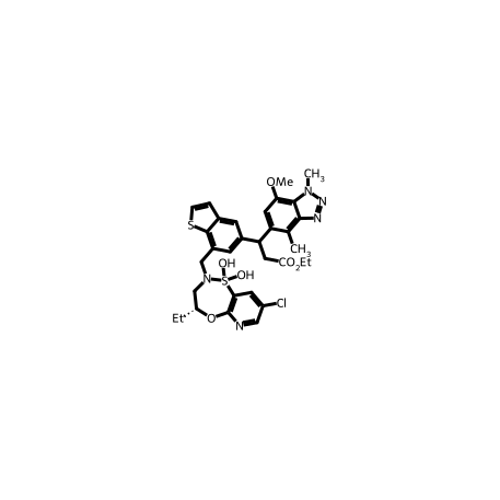 CCOC(=O)CC(c1cc(CN2C[C@@H](CC)Oc3ncc(Cl)cc3S2(O)O)c2sccc2c1)c1cc(OC)c2c(nnn2C)c1C